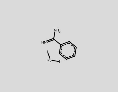 N=C(N)c1ccccc1.[I][Pb][I]